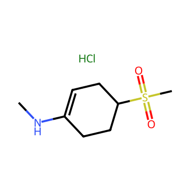 CNC1=CCC(S(C)(=O)=O)CC1.Cl